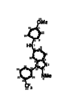 CNc1nc2cnc(Nc3ccc(OC)cc3)cc2n1-c1cccc(C(F)(F)F)c1